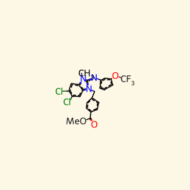 COC(=O)c1ccc(Cn2c(=Nc3cccc(OC(F)(F)F)c3)n(C)c3cc(Cl)c(Cl)cc32)cc1